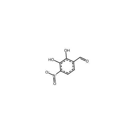 O=Cc1ccc([N+](=O)[O-])c(O)c1O